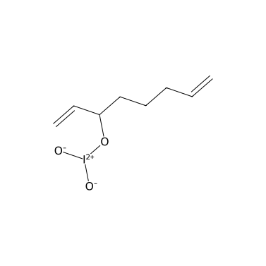 C=CCCCC(C=C)O[I+2]([O-])[O-]